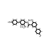 CC(=O)Oc1ccc(-c2ccc(F)cc2)cc1C(=O)Oc1ccc(-c2ccc(F)cc2)cc1C(=O)O